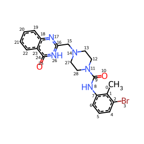 Cc1c(Br)cccc1NC(=O)N1CCN(Cc2nc3ccccc3c(=O)[nH]2)CC1